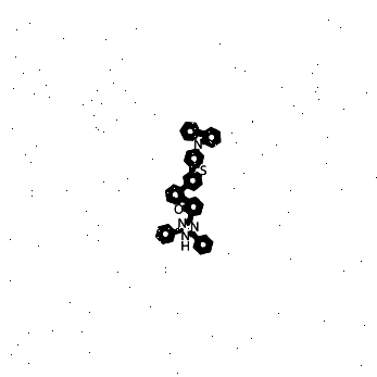 c1ccc(C2=NC(c3cccc4c3oc3cccc(-c5ccc6sc7cc(-n8c9ccccc9c9ccccc98)ccc7c6c5)c34)=NC(c3ccccc3)N2)cc1